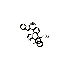 CCCCC1C(c2cccc(C3=Cc4ccccc4C3CCCC)c2-n2ccnc2-c2ccccc2F)=Cc2ccccc21